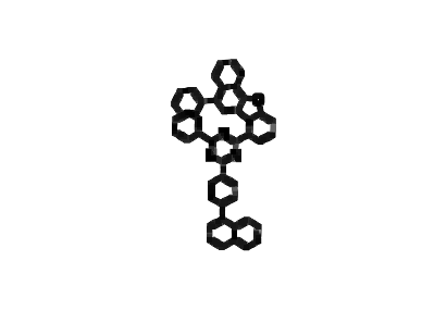 c1ccc(-c2nc(-c3ccc(-c4cccc5ccccc45)cc3)nc(-c3cccc4oc5c6ccccc6c(-c6ccccc6)cc5c34)n2)cc1